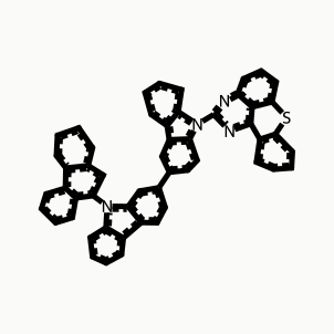 c1ccc2c(c1)Sc1cccc3nc(-n4c5ccccc5c5cc(-c6ccc7c8ccccc8n(-c8cc9ccccc9c9ccccc89)c7c6)ccc54)nc-2c13